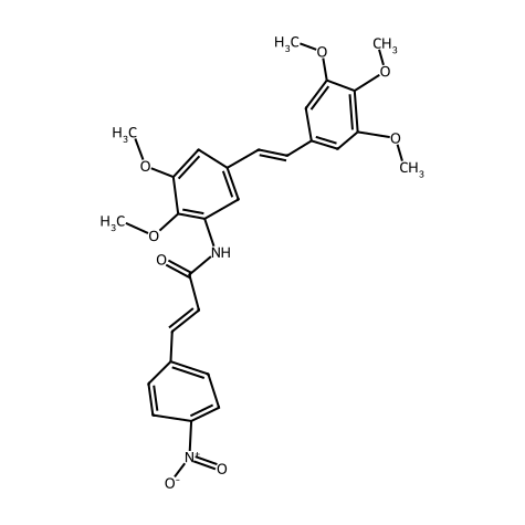 COc1cc(/C=C/c2cc(OC)c(OC)c(OC)c2)cc(NC(=O)/C=C/c2ccc([N+](=O)[O-])cc2)c1OC